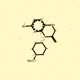 C=C1CNc2ncc(Br)nc2N1[C@H]1CC[C@H](OC)CC1